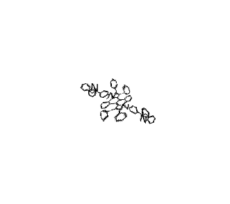 c1ccc(-c2c(-c3ccccc3)n(-c3ccc(-c4nc5ccccc5o4)cc3)c3c4ccccc4c4c5c(-c6ccccc6)c(-c6ccccc6)n(-c6ccc(-c7nc8ccccc8o7)cc6)c5c5ccccc5c4c23)cc1